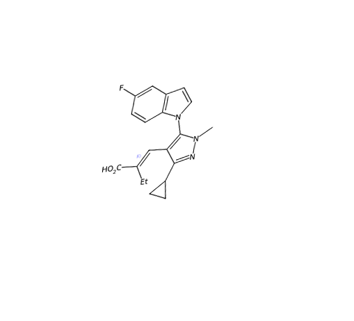 CC/C(=C\c1c(C2CC2)nn(C)c1-n1ccc2cc(F)ccc21)C(=O)O